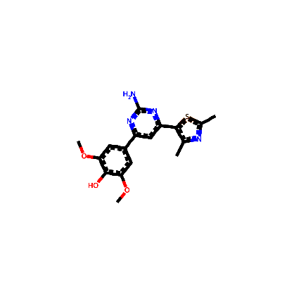 COc1cc(-c2cc(-c3sc(C)nc3C)nc(N)n2)cc(OC)c1O